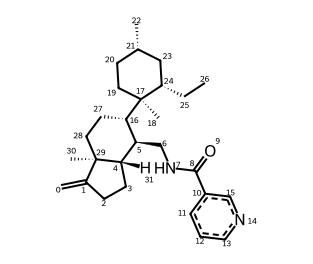 C=C1CC[C@H]2[C@H](CNC(=O)c3cccnc3)[C@@H]([C@@]3(C)CC[C@H](C)C[C@@H]3CC)CC[C@]12C